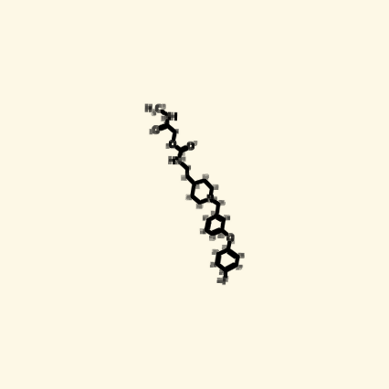 CNC(=O)COC(=O)NCCC1CCN(Cc2cccc(Oc3ccc(F)cc3)c2)CC1